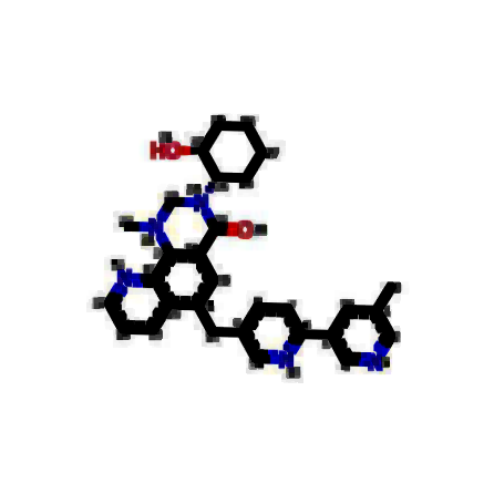 Cc1cncc(-c2ccc(Cc3cc4c(c5ncccc35)N(C)CN([C@H]3CCCC[C@@H]3O)C4=O)cn2)c1